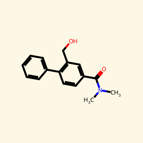 CN(C)C(=O)c1ccc(-c2ccccc2)c(CO)c1